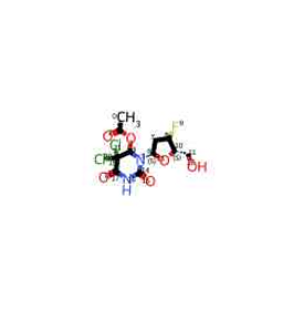 CC(=O)OC1N([C@@H]2CC(F)[C@H](CO)O2)C(=O)NC(=O)C1(Cl)Cl